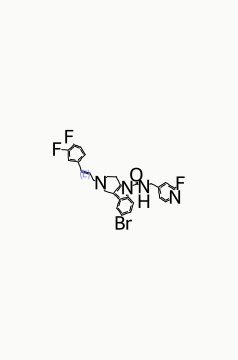 O=C(NCc1ccnc(F)c1)n1c2c(c3cc(Br)ccc31)CN(C/C=C/c1ccc(F)c(F)c1)CC2